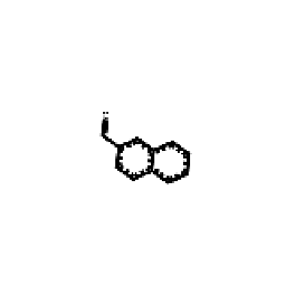 O=Cc1ccc2cc[c]cc2c1